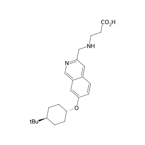 CC(C)(C)[C@H]1CC[C@H](Oc2ccc3cc(CNCCC(=O)O)ncc3c2)CC1